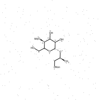 CCCCCCCCCC[C@H](C)O[C@@H]1OC(CO)[C@@H](OC)C(O)C1O